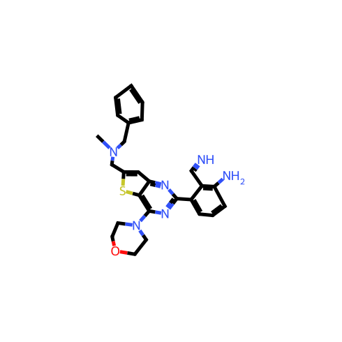 CN(Cc1ccccc1)Cc1cc2nc(-c3cccc(N)c3C=N)nc(N3CCOCC3)c2s1